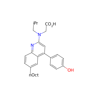 CCCCCCCCc1ccc2nc(N(CC(=O)O)CC(C)C)cc(-c3ccc(O)cc3)c2c1